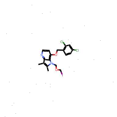 Cc1c(C)n(COCI)c2c(OCc3ccc(Cl)cc3Cl)ccnc12